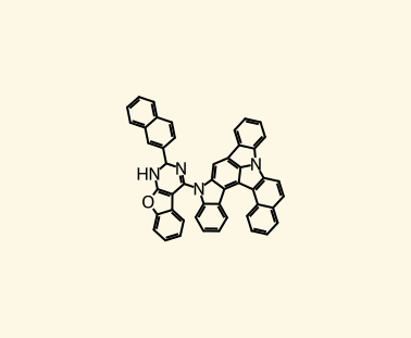 c1ccc2cc(C3N=C(n4c5ccccc5c5c6c7c8ccccc8ccc7n7c8ccccc8c(cc54)c67)c4c(oc5ccccc45)N3)ccc2c1